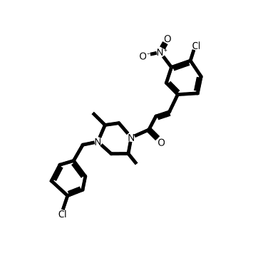 CC1CN(C(=O)/C=C/c2ccc(Cl)c([N+](=O)[O-])c2)C(C)CN1Cc1ccc(Cl)cc1